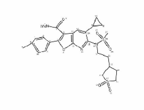 CNC(=O)c1c(-c2ccc(C)cc2)oc2nc(N(CCC3CCS(=O)(=O)C3)S(C)(=O)=O)c(C3CC3)cc12